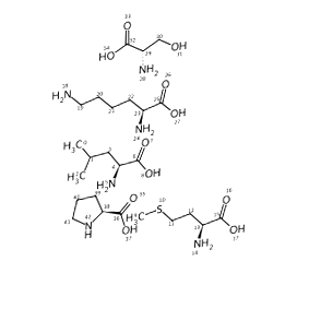 CC(C)C[C@H](N)C(=O)O.CSCC[C@H](N)C(=O)O.NCCCC[C@H](N)C(=O)O.N[C@@H](CO)C(=O)O.O=C(O)[C@@H]1CCCN1